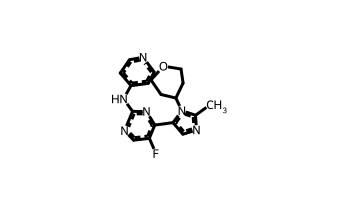 Cc1ncc(-c2nc(Nc3ccncc3)ncc2F)n1C1CCOCC1